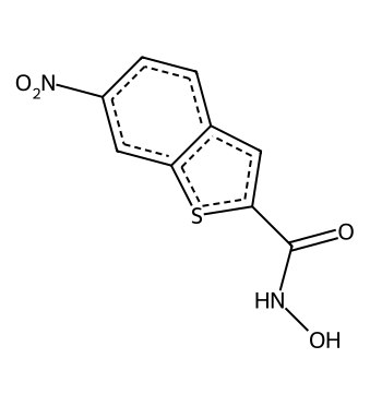 O=C(NO)c1cc2ccc([N+](=O)[O-])cc2s1